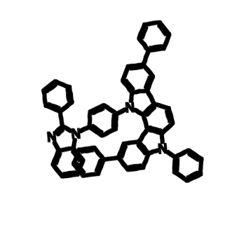 c1ccc(-c2ccc3c(c2)c2c(ccc4c5cc(-c6ccccc6)ccc5n(-c5ccc(-n6c(-c7ccccc7)nc7ccccc76)cc5)c42)n3-c2ccccc2)cc1